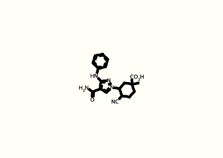 CC1(C(=O)O)CCC(C#N)C(n2cc(C(N)=O)c(Nc3ccccc3)n2)C1